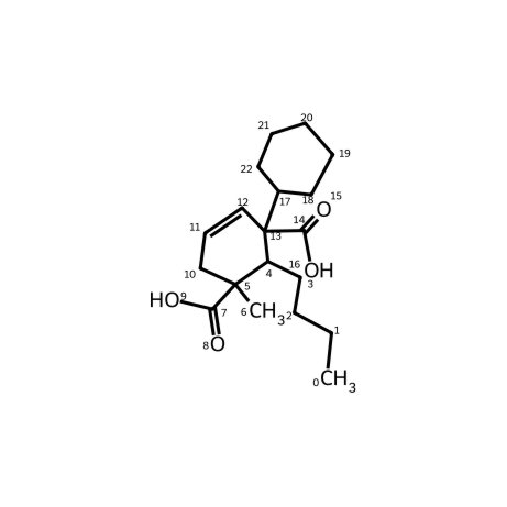 CCCCC1C(C)(C(=O)O)CC=CC1(C(=O)O)C1CCCCC1